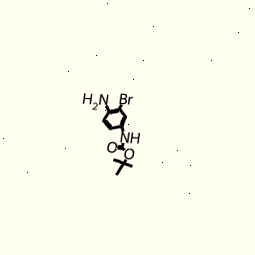 CC(C)(C)OC(=O)Nc1ccc(N)c(Br)c1